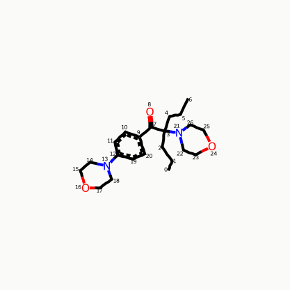 CCCC(CCC)(C(=O)c1ccc(N2CCOCC2)cc1)N1CCOCC1